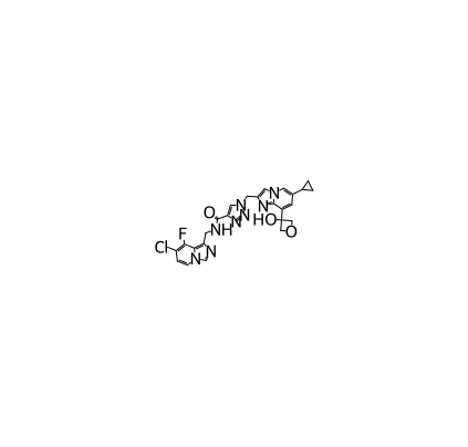 O=C(NCc1ncn2ccc(Cl)c(F)c12)c1cn(Cc2cn3cc(C4CC4)cc(C4(O)COC4)c3n2)nn1